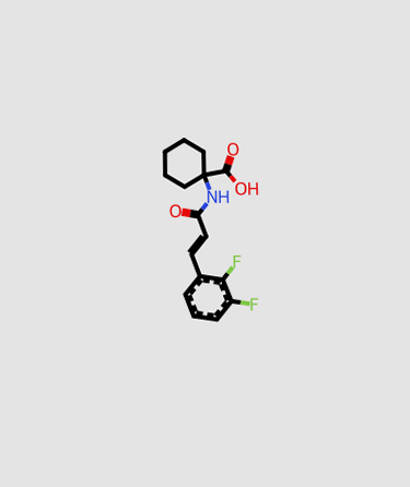 O=C(C=Cc1cccc(F)c1F)NC1(C(=O)O)CCCCC1